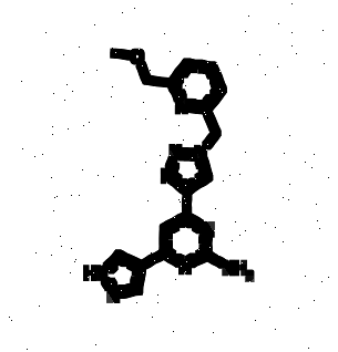 COCc1cccc(Cn2cc(-c3cc(-c4cn[nH]c4)nc(N)n3)nn2)n1